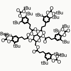 CC(C)(C)OC(=O)Oc1c(C(C)(C)C)cc(CCC(=O)OCC2OC(OC(=O)CCc3cc(C(C)(C)C)c(OC(=O)OC(C)(C)C)c(C(C)(C)C)c3)C(OC(=O)CCc3cc(C(C)(C)C)c(OC(=O)OC(C)(C)C)c(C(C)(C)C)c3)C(OC(=O)CCc3cc(C(C)(C)C)c(OC(=O)OC(C)(C)C)c(C(C)(C)C)c3)C2OC(=O)CCc2cc(C(C)(C)C)c(OC(=O)OC(C)(C)C)c(C(C)(C)C)c2)cc1C(C)(C)C